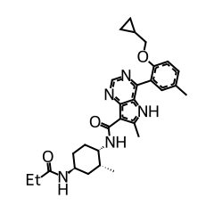 CCC(=O)N[C@H]1CC[C@H](NC(=O)c2c(C)[nH]c3c(-c4cc(C)ccc4OCC4CC4)ncnc23)[C@H](C)C1